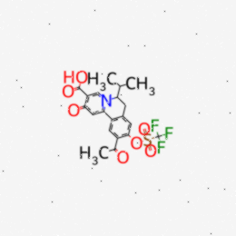 CC(=O)c1cc2c(cc1OS(=O)(=O)C(F)(F)F)CC(C(C)C)n1cc(C(=O)O)c(=O)cc1-2